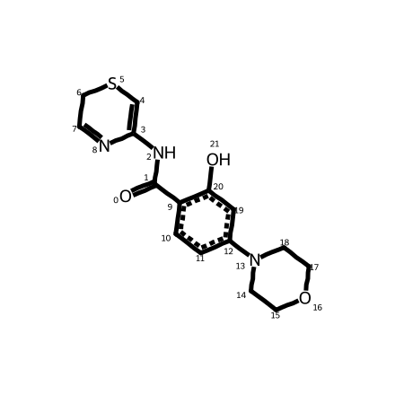 O=C(NC1=CSCC=N1)c1ccc(N2CCOCC2)cc1O